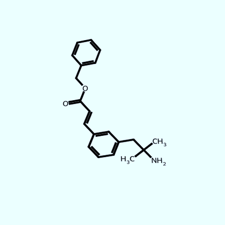 CC(C)(N)Cc1cccc(C=CC(=O)OCc2ccccc2)c1